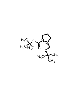 CC(C)(C)OC[C@@H]1CCCN1C(=O)OC(C)(C)C